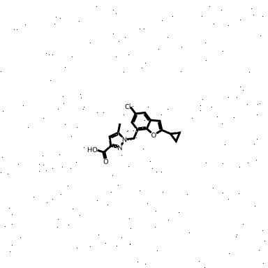 Cc1cc(C(=O)O)nn1Cc1cc(Cl)cc2cc(C3CC3)oc12